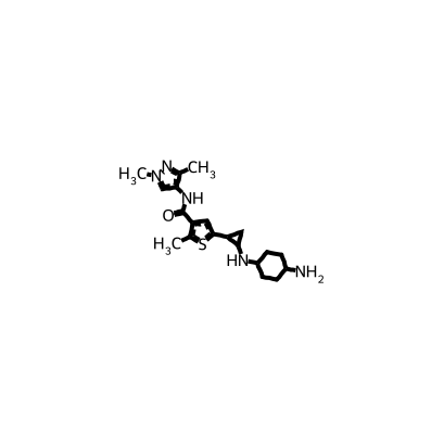 Cc1nn(C)cc1NC(=O)c1cc(C2CC2NC2CCC(N)CC2)sc1C